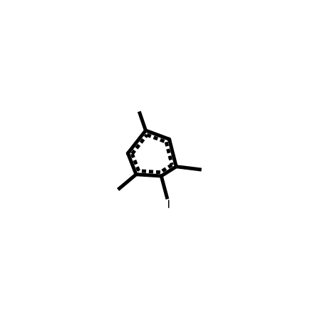 Cc1cc(C)c(I)c(C)c1